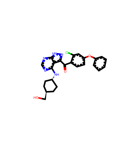 O=C(c1ccc(Oc2ccccc2)cc1Cl)c1n[nH]c2ncnc(N[C@H]3CC[C@H](CO)CC3)c12